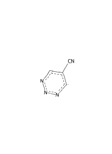 N#Cc1[c]nnnc1